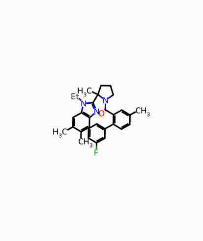 CCn1c(C2(C)CCCN2C(=O)c2cc(C)ccc2-c2cccc(F)c2)nc2cc(C)c(C)cc21